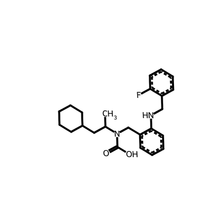 CC(CC1CCCCC1)N(Cc1ccccc1NCc1ccccc1F)C(=O)O